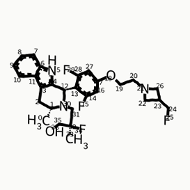 C[C@@H]1Cc2c([nH]c3ccccc23)[C@@H](c2c(F)cc(OCCN3CC(CF)C3)cc2F)N1C[C@@](C)(F)CO